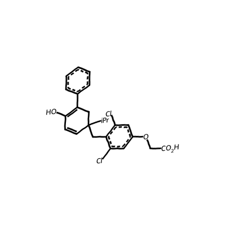 CC(C)C1(Cc2c(Cl)cc(OCC(=O)O)cc2Cl)C=CC(O)=C(c2ccccc2)C1